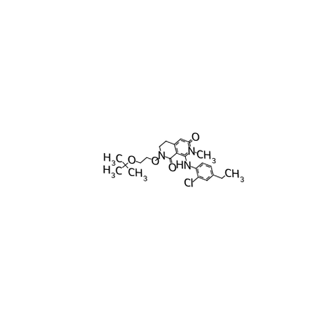 CCc1ccc(Nc2c3c(cc(=O)n2C)CCN(OCCOC(C)(C)C)C3=O)c(Cl)c1